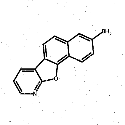 Bc1ccc2c(ccc3c4cccnc4oc23)c1